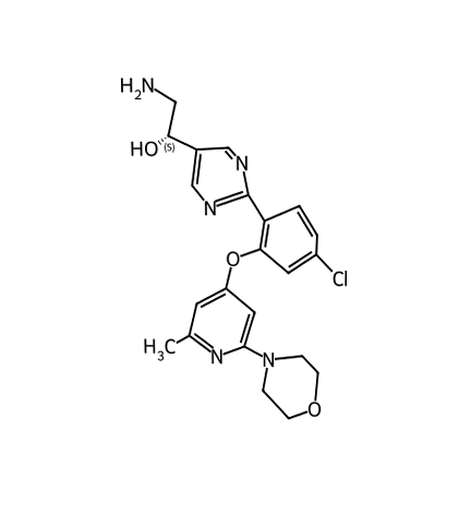 Cc1cc(Oc2cc(Cl)ccc2-c2ncc([C@H](O)CN)cn2)cc(N2CCOCC2)n1